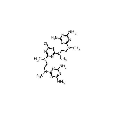 CN(CCN(C)c1nc(Cl)nc(N(C)CCN(C)c2nc(N)nc(N)n2)n1)c1nc(N)nc(N)n1